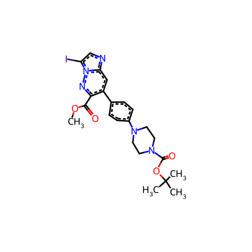 COC(=O)c1nn2c(I)cnc2cc1-c1ccc(N2CCN(C(=O)OC(C)(C)C)CC2)cc1